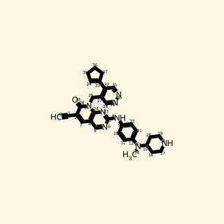 C#Cc1cc2cnc(Nc3ccc(N(C)C4CCNCC4)cc3)nc2n(Cc2cnncc2C2=CCCC2)c1=O